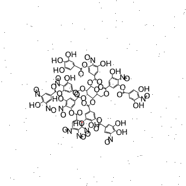 O=Nc1cc(C(=O)Oc2cc(C(=O)OC3C(COC(=O)c4cc(O)c(N=O)c(OC(=O)c5cc(O)c(N=O)c(O)c5)c4)OC(OC(=O)c4cc(O)c(N=O)c(OC(=O)c5cc(O)c(O)c(O)c5)c4)C(OC(=O)c4cc(O)c(N=O)c(OC(=O)c5cc(N=O)c(O)c(N=O)c5)c4)C3OC(=O)c3cc(O)c(N=O)c(OC(=O)c4cc(N=O)c(N=O)c(N=O)c4)c3)cc(O)c2O)cc(O)c1O